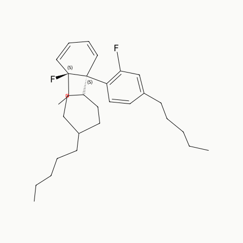 CCCCCc1ccc([C@]2(C3CCC(CCCCC)CC3)C=CC=C[C@@]2(F)CC)c(F)c1